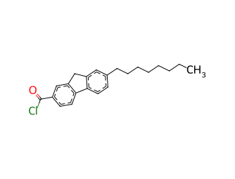 CCCCCCCCc1ccc2c(c1)Cc1cc(C(=O)Cl)ccc1-2